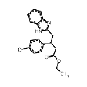 CCOC(=O)CC(Cc1nc2ccccc2[nH]1)c1ccc(Cl)cc1